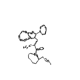 CCC1CCCCN1C(=O)C(C)=Cc1c(-c2ccccc2)nn2ccccc12